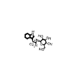 O=C(O)C(Cc1c[nH]c2ccccc12)NC1O[C@H](CO)[C@@H](O)[C@H](O)[C@@H]1O